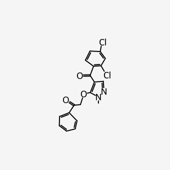 Cn1ncc(C(=O)c2ccc(Cl)cc2Cl)c1OCC(=O)c1ccccc1